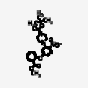 COC(=O)c1ccccc1Oc1cnc([N+](=O)[O-])c(N2CCN(C(=O)OC(C)(C)C)CC2)c1